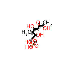 C=C(O)C(=O)C[C@@H](O)[C@H](C)[C@H](O)COP(=O)(O)O